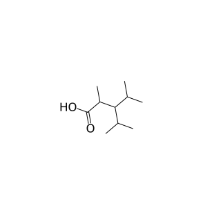 CC(C)C(C(C)C)C(C)C(=O)O